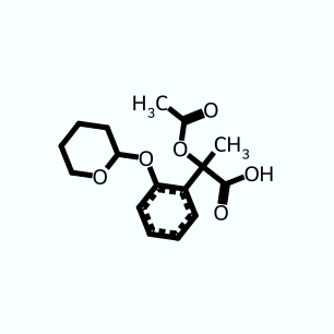 CC(=O)OC(C)(C(=O)O)c1ccccc1OC1CCCCO1